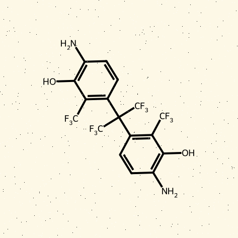 Nc1ccc(C(c2ccc(N)c(O)c2C(F)(F)F)(C(F)(F)F)C(F)(F)F)c(C(F)(F)F)c1O